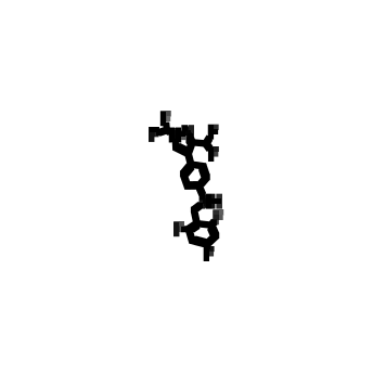 Fc1cc(F)c(CNc2ccc(-c3cn(C(F)F)nc3C(F)F)cc2)c(F)c1